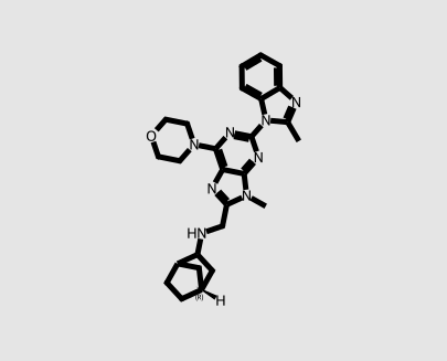 Cc1nc2ccccc2n1-c1nc(N2CCOCC2)c2nc(CNC3C[C@@H]4CCC3C4)n(C)c2n1